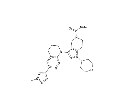 CNC(=O)N1CCc2c(c(N3CCCc4cc(-c5cnn(C)c5)ncc43)nn2C2CCOCC2)C1